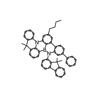 CCCCc1cc2c3c(c1)N1c4ccccc4C(C)(C)c4cccc(c41)B3N(c1cccc3c1C(C)(C)c1ccccc1-3)c1cc(-c3ccccc3)ccc1-2